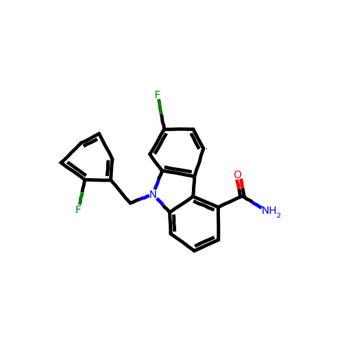 NC(=O)c1cccc2c1c1[c]cc(F)cc1n2Cc1ccccc1F